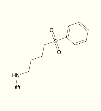 CC(C)NCCCCS(=O)(=O)c1ccccc1